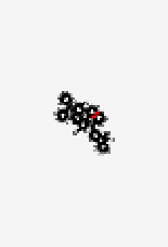 Cc1cc(N(c2ccccc2)c2ccc3c(c2)C(C)(C)c2ccccc2-3)c2c3ccccc3c3c(C)cc(N(c4ccccc4)c4ccccn4)c4ccc1c2c43